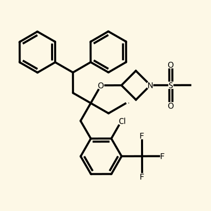 [CH2]CC(Cc1cccc(C(F)(F)F)c1Cl)(CC(c1ccccc1)c1ccccc1)OC1CN(S(C)(=O)=O)C1